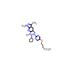 CCOC(=O)CCCOc1cnc(NCc2cc3c(C)nn(C)c3nc2N(CC)CC2CCCC2)nc1